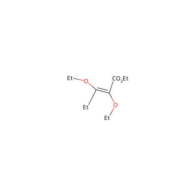 CCOC(=O)C(OCC)=C(CC)OCC